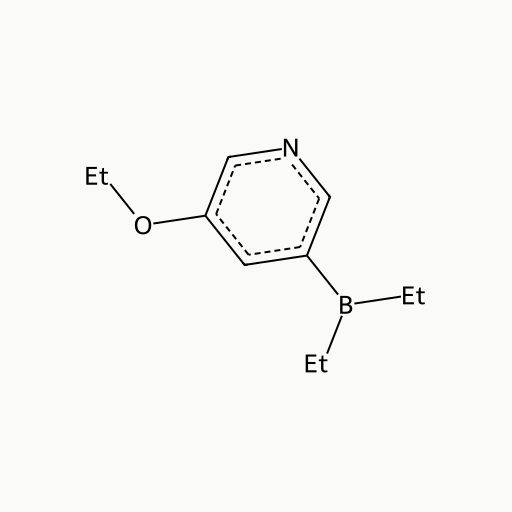 CCOc1cncc(B(CC)CC)c1